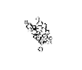 CCCCCCC(=O)O[C@H]1CCC2C3CCC4=CC(=O)CC[C@]4(C)C3CC[C@@]21C.C[C@]12CC[C@H]3[C@@H](CCC4=CC(=O)CC[C@@]43C)[C@@H]1CC[C@@H]2OC(=O)CCC1CCCC1